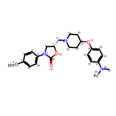 COc1ccc(N2C[C@H](CN3CCC(Oc4ccc(N(C)C(C)=O)cc4)CC3)OC2=O)cc1